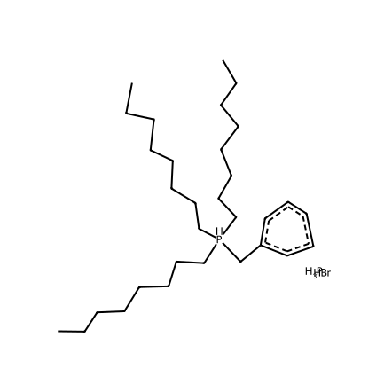 Br.CCCCCCCC[PH](CCCCCCCC)(CCCCCCCC)Cc1ccccc1.P